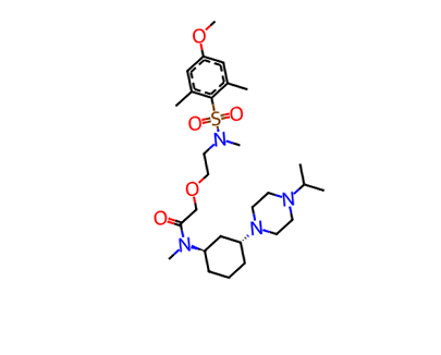 COc1cc(C)c(S(=O)(=O)N(C)CCOCC(=O)N(C)[C@@H]2CCC[C@@H](N3CCN(C(C)C)CC3)C2)c(C)c1